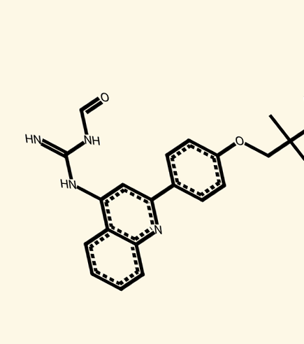 CCC(C)(C)COc1ccc(-c2cc(NC(=N)NC=O)c3ccccc3n2)cc1